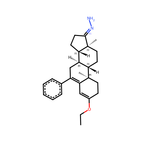 CCOC1=CC2=C(c3ccccc3)C[C@@H]3[C@H](CC[C@]4(C)/C(=N/N)CC[C@@H]34)[C@@]2(C)CC1